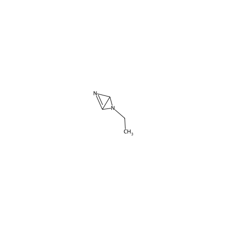 CCN1C2=NC21